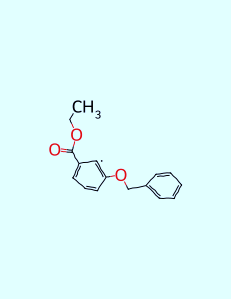 CCOC(=O)c1[c]c(OCc2ccccc2)ccc1